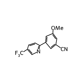 COc1cc(C#N)cc(-c2ccc(C(F)(F)F)cn2)c1